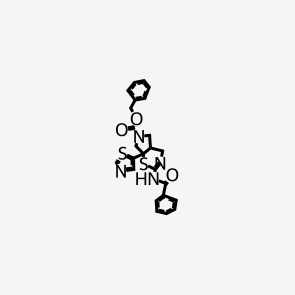 O=C(NC1=NCC2CN(C(=O)OCc3ccccc3)CC2(c2cncs2)S1)c1ccccc1